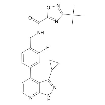 CC(C)(C)c1noc(C(=O)NCc2ccc(-c3ccnc4[nH]nc(C5CC5)c34)cc2F)n1